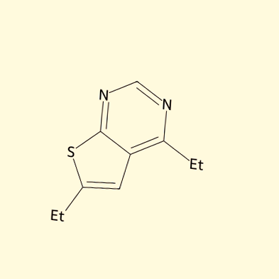 CCc1cc2c(CC)ncnc2s1